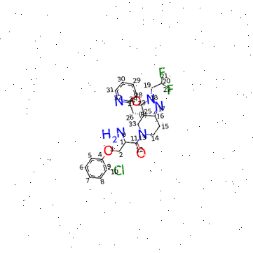 NC(COc1ccccc1Cl)C(=O)N1CCC2=NN(CC(F)F)C(=O)[C@]2(Cc2ccccn2)C1